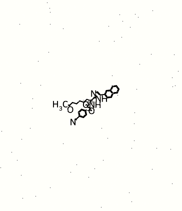 CC(=O)CCCCC[C@H](NS(=O)(=O)c1ccc(C#N)cc1)c1ncc(-c2ccc3ccccc3c2)[nH]1